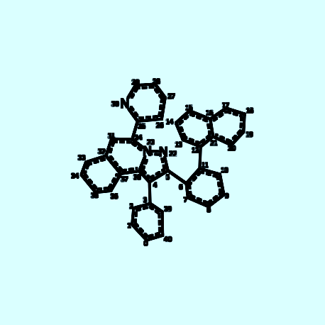 c1ccc(-c2c(-c3ccccc3-c3cccc4ccccc34)nn3c(-c4ccccn4)cc4ccccc4c23)cc1